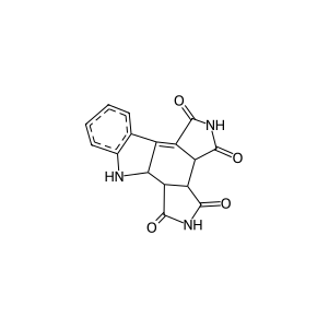 O=C1NC(=O)C2C1=C1c3ccccc3NC1C1C(=O)NC(=O)C21